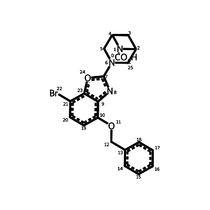 O=C(O)N1C2CC1CN(c1nc3c(OCc4ccccc4)ccc(Br)c3o1)C2